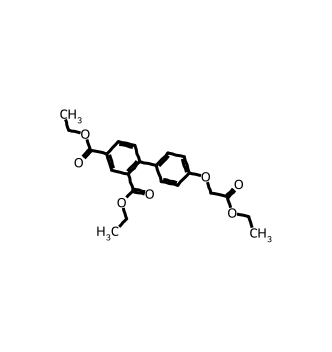 CCOC(=O)COc1ccc(-c2ccc(C(=O)OCC)cc2C(=O)OCC)cc1